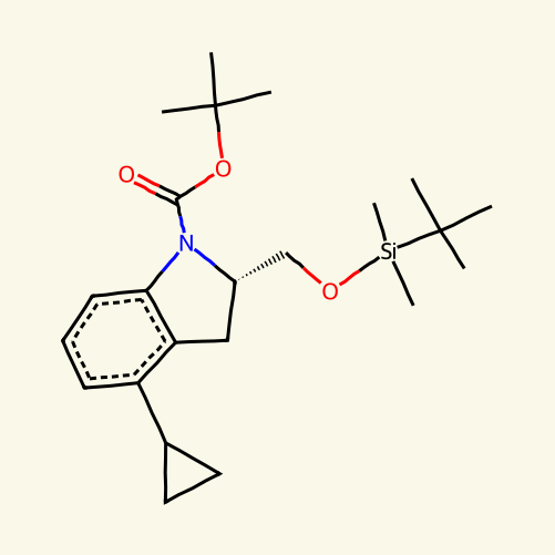 CC(C)(C)OC(=O)N1c2cccc(C3CC3)c2C[C@H]1CO[Si](C)(C)C(C)(C)C